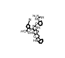 N#Cc1ccc(C(=O)O)c(OC2=C3NC(=O)C(CC4CNc5ccccc54)N=C3NC(Oc3ccccc3NC(=N)N)=N2)c1